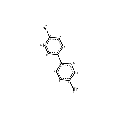 CC(C)c1ccc(-c2ccc(C(C)C)nc2)nc1